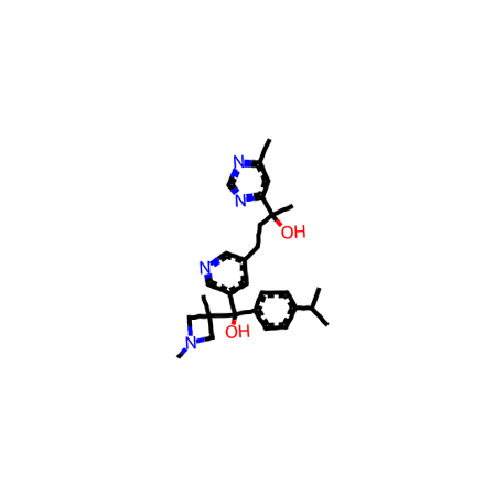 Cc1cc(C(C)(O)CCc2cncc(C(O)(c3ccc(C(C)C)cc3)C3(C)CN(C)C3)c2)ncn1